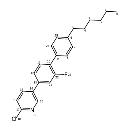 CCCCCCc1ccc(-c2ccc(-c3ccc(Cl)nc3)cc2F)cc1